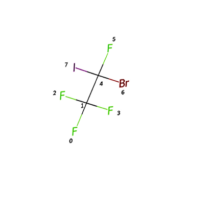 FC(F)(F)C(F)(Br)I